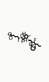 CCCCC(F)[C@@H](/C=C/[C@@H]1[C@H]2C(F)[C@H](C(I)CCCC(=O)OC)O[C@@H]2C[C@H]1C)OC1CCCCO1